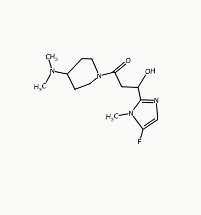 CN(C)C1CCN(C(=O)CC(O)c2ncc(F)n2C)CC1